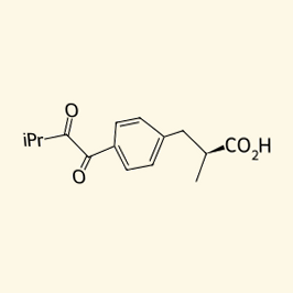 CC(C)C(=O)C(=O)c1ccc(C[C@H](C)C(=O)O)cc1